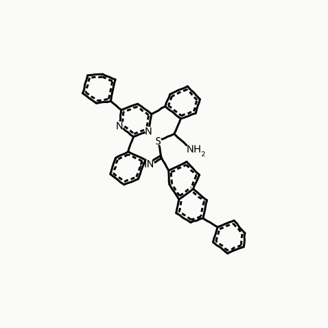 N=C(SC(N)c1ccccc1-c1cc(-c2ccccc2)nc(-c2ccccc2)n1)c1ccc2cc(-c3ccccc3)ccc2c1